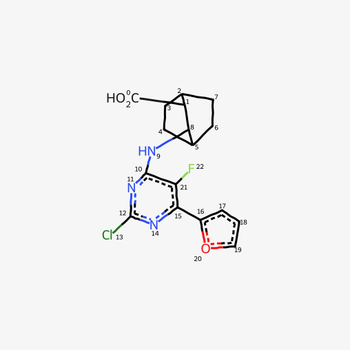 O=C(O)C1C2CCC(CC2)C1Nc1nc(Cl)nc(-c2ccco2)c1F